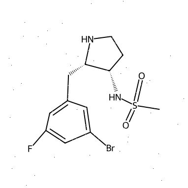 CS(=O)(=O)N[C@H]1CCN[C@H]1Cc1cc(F)cc(Br)c1